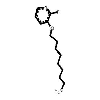 NCCCCCCCCOc1cccnc1F